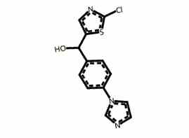 OC(c1ccc(-n2ccnc2)cc1)c1cnc(Cl)s1